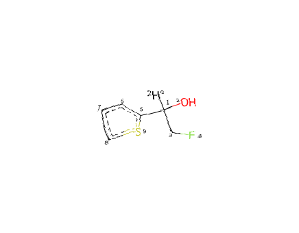 [2H]C(O)(CF)c1cccs1